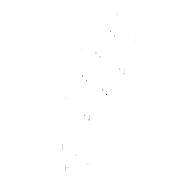 COc1cccc(OC)c1-n1c(-c2cccc(OC(F)(F)F)n2)nc2ncc(NS(C)(=O)=O)nc21